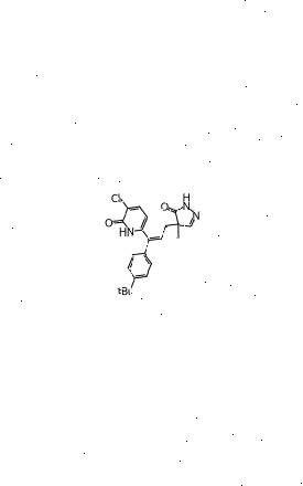 CC1(C/C=C(/c2ccc(C(C)(C)C)cc2)c2ccc(Cl)c(=O)[nH]2)C=NNC1=O